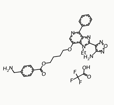 CCn1c(-c2nonc2N)nc2c(-c3ccccc3)ncc(OCCCCOC(=O)c3ccc(CN)cc3)c21.O=C(O)C(F)(F)F